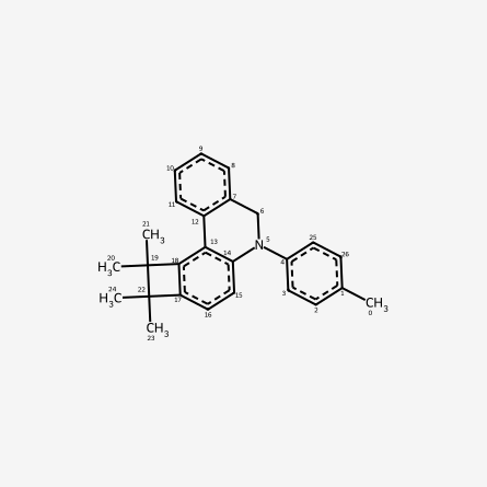 Cc1ccc(N2Cc3ccccc3-c3c2ccc2c3C(C)(C)C2(C)C)cc1